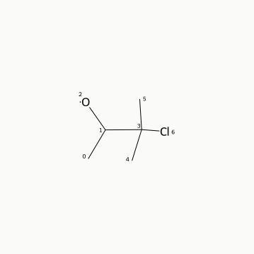 CC([O])C(C)(C)Cl